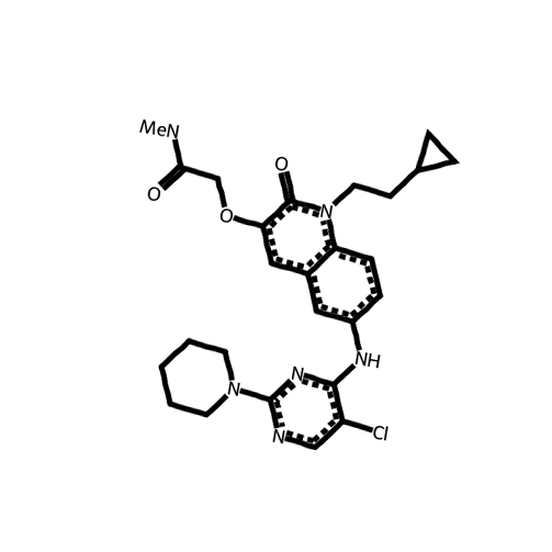 CNC(=O)COc1cc2cc(Nc3nc(N4CCCCC4)ncc3Cl)ccc2n(CCC2CC2)c1=O